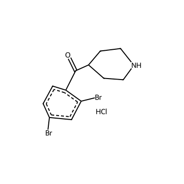 Cl.O=C(c1ccc(Br)cc1Br)C1CCNCC1